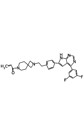 C=CC(=O)N1CCC2(CC1)CN(CCc1ccc(-c3cc4c(-c5cc(F)cc(F)c5)ncnc4[nH]3)cc1)C2